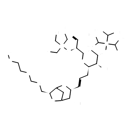 CC[Si](CC)(CC)O[C@@H](C=O)[C@@H]1C[C@H](O[Si](C(C)C)(C(C)C)C(C)C)[C@@H](C)[C@@H](C/C=C/[C@@H]2OC3CC(O[C@H]3COCOCCOC)[C@H]2C)O1